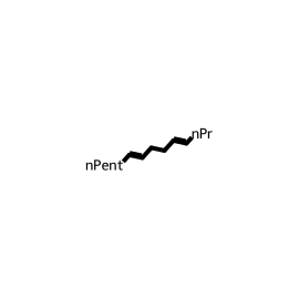 [CH2]CCC=CCCC=CCCCCC